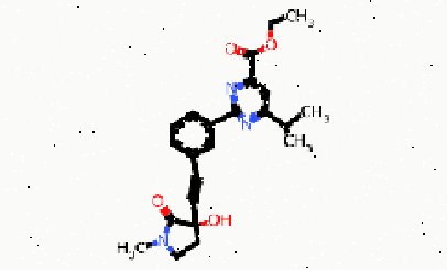 CCOC(=O)c1cc(C(C)C)nc(-c2cccc(C#C[C@]3(O)CCN(C)C3=O)c2)n1